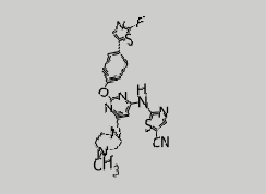 CN1CCN(c2cc(Nc3ncc(C#N)s3)nc(Oc3ccc(-c4cnc(F)s4)cc3)n2)CC1